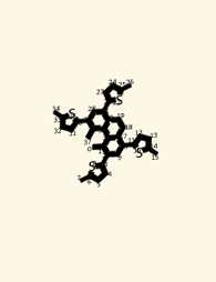 C=c1c(-c2ccc(C)s2)cc(-c2ccc(C)s2)c2ccc3c(-c4ccc(C)s4)cc(-c4ccc(C)s4)c(=C)c3c12